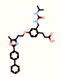 Cc1oc(-c2ccc(-c3ccccc3)cc2)nc1CCOc1ccc(CCC(=O)O)c(CNC(=O)NC(C)C)c1